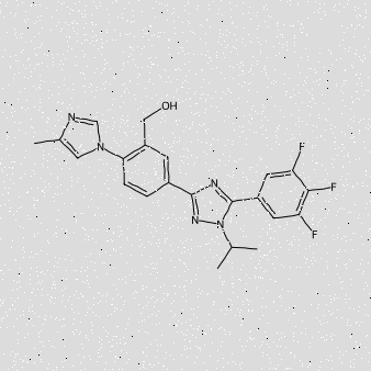 Cc1cn(-c2ccc(-c3nc(-c4cc(F)c(F)c(F)c4)n(C(C)C)n3)cc2CO)cn1